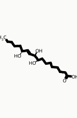 CCCCC[C@@H](O)/C=C/[C@@H](O)[C@@H](O)CCCCCCCC(=O)O